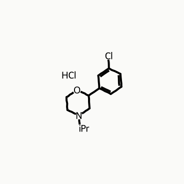 CC(C)N1CCOC(c2cccc(Cl)c2)C1.Cl